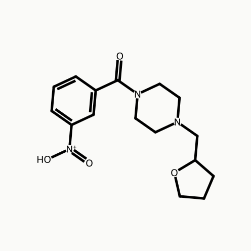 O=C(c1cccc([N+](=O)O)c1)N1CCN(CC2CCCO2)CC1